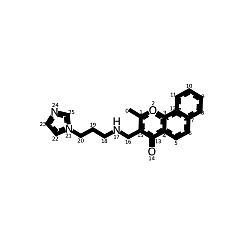 Cc1oc2c(ccc3ccccc32)c(=O)c1CNCCCn1ccnc1